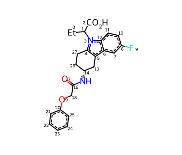 CCC(C(=O)O)n1c2c(c3cc(F)ccc31)C[C@H](NC(=O)COc1ccccc1)CC2